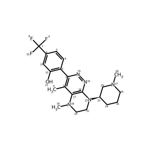 Cc1c(-c2ccc(C(F)(F)F)cc2O)nnc2c1N(C)CCN2[C@@H]1CCCN(C)C1